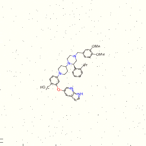 COc1ccc(CN2CCN(C3CCN(c4ccc(C(=O)O)c(Oc5cnc6[nH]ccc6c5)c4)CC3)[C@H](c3ccccc3C(C)C)C2)cc1OC